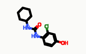 O=C(Nc1ccc(O)cc1Cl)NC1CCCCC1